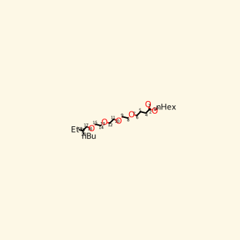 CCCCCCOC(=O)CCCOCCOCCOCCOCC(CC)CCCC